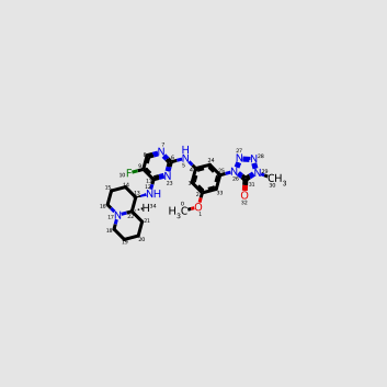 COc1cc(Nc2ncc(F)c(N[C@@H]3CCCN4CCCC[C@H]34)n2)cc(-n2nnn(C)c2=O)c1